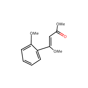 COC(=O)C=C(OC)c1ccccc1OC